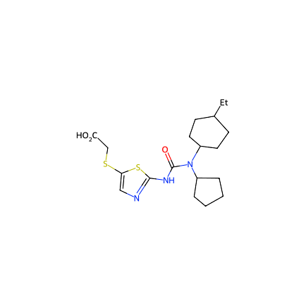 CCC1CCC(N(C(=O)Nc2ncc(SCC(=O)O)s2)C2CCCC2)CC1